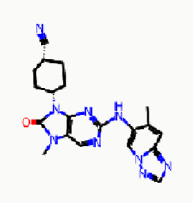 Cc1cc2ncnn2cc1Nc1ncc2c(n1)n([C@H]1CC[C@@H](C#N)CC1)c(=O)n2C